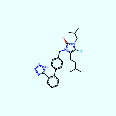 CC(C)CCc1c(F)n(CC(C)C)c(=O)n1Cc1ccc(-c2ccccc2-c2nnn[nH]2)cc1